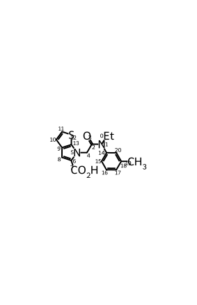 CCN(C(=O)Cn1c(C(=O)O)cc2ccsc21)c1cccc(C)c1